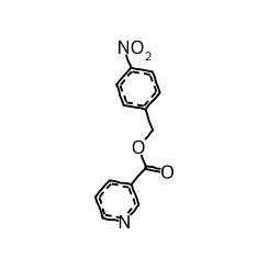 O=C(OCc1ccc([N+](=O)[O-])cc1)c1cccnc1